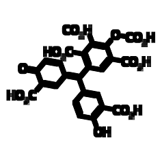 O=C(O)Oc1c(C(=O)O)cc(C(=C2C=CC(=O)C(C(=O)O)=C2)c2ccc(O)c(C(=O)O)c2)c(C(=O)O)c1C(=O)O